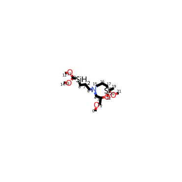 COCC1CN(CCC[SiH2]C(OC)OC)CCC[Si](C)(OC)O1